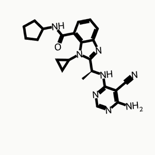 C[C@H](Nc1ncnc(N)c1C#N)c1nc2cccc(C(=O)NC3CCCC3)c2n1C1CC1